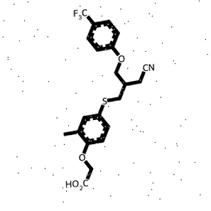 Cc1cc(SCC(CC#N)COc2ccc(C(F)(F)F)cc2)ccc1OCC(=O)O